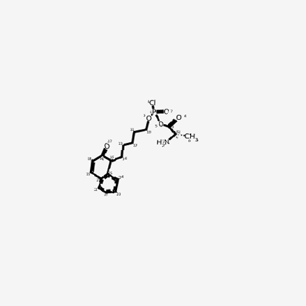 C[C@H](N)C(=O)OP(=O)(Cl)OCCCCCC1C(=O)C=Cc2ccccc21